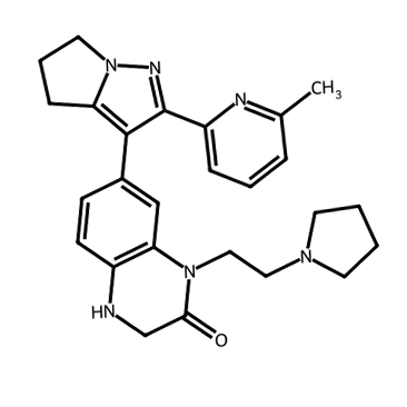 Cc1cccc(-c2nn3c(c2-c2ccc4c(c2)N(CCN2CCCC2)C(=O)CN4)CCC3)n1